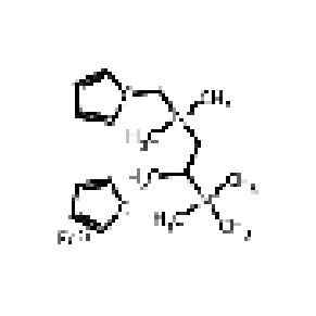 CC(C[N+](C)(C)C[c-]1cccc1)[N+](C)(C)C.[Fe+2].c1cc[cH-]c1